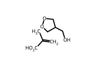 C=C(C)C(=O)O.OCC1COOC1